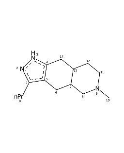 CCCc1n[nH]c2c1CC1CN(C)CCC1C2